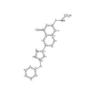 O=C(O)NCc1cc(=O)c2cc(-c3cn(Cc4ccccc4)nn3)ccc2o1